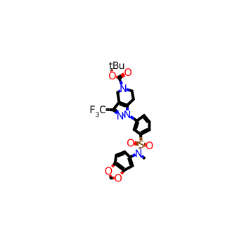 CN(c1ccc2c(c1)OCO2)S(=O)(=O)c1cccc(-n2nc(C(F)(F)F)c3c2CCN(C(=O)OC(C)(C)C)C3)c1